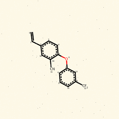 C=Cc1ccc(Oc2cccc(C(F)(F)F)c2)c(C#N)c1